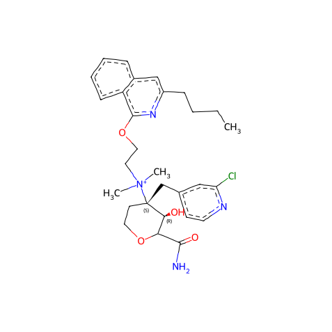 CCCCc1cc2ccccc2c(OCC[N+](C)(C)[C@@]2(Cc3ccnc(Cl)c3)CCOC(C(N)=O)[C@@H]2O)n1